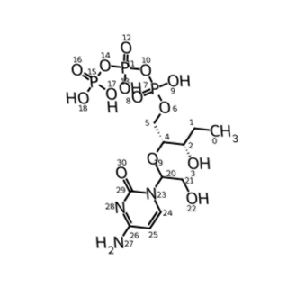 CC[C@H](O)[C@@H](COP(=O)(O)OP(=O)(O)OP(=O)(O)O)OC(CO)n1ccc(N)nc1=O